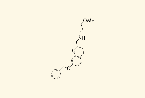 COCCCNC[C@H]1CCc2ccc(OCc3ccccc3)cc2O1